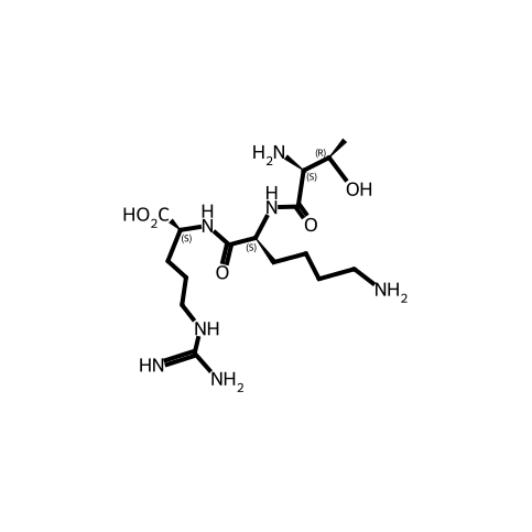 C[C@@H](O)[C@H](N)C(=O)N[C@@H](CCCCN)C(=O)N[C@@H](CCCNC(=N)N)C(=O)O